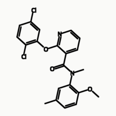 COc1ccc(C)cc1N(C)C(=O)c1cccnc1Oc1cc(Cl)ccc1Cl